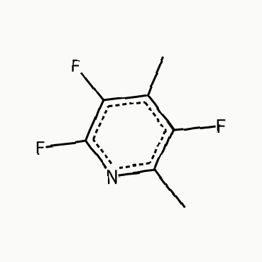 Cc1nc(F)c(F)c(C)c1F